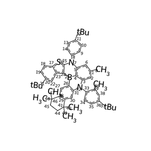 Cc1cc2c3c(c1)N(c1ccc(C(C)(C)C)cc1)c1sc4ccc(C(C)(C)C)cc4c1B3c1cc3c(cc1N2c1ccc(C(C)(C)C)cc1C)C(C)(C)CCC3(C)C